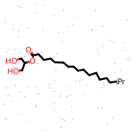 CC(C)CCCCCCCCCCCCCCC(=O)OC(CO)CO